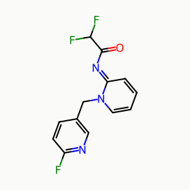 O=C(N=c1ccccn1Cc1ccc(F)nc1)C(F)F